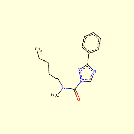 CCCCCN(C)C(=O)n1cnc(-c2ccccc2)n1